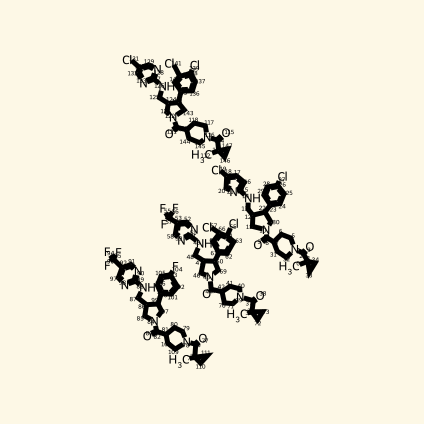 CC1(C(=O)N2CCC(C(=O)N3CC(CNc4ccc(Cl)cn4)C(c4ccc(Cl)cc4)C3)CC2)CC1.CC1(C(=O)N2CCC(C(=O)N3CC(CNc4ncc(C(F)(F)F)cn4)C(c4ccc(Cl)c(Cl)c4)C3)CC2)CC1.CC1(C(=O)N2CCC(C(=O)N3CC(CNc4ncc(C(F)(F)F)cn4)C(c4ccc(F)cc4)C3)CC2)CC1.CC1(C(=O)N2CCC(C(=O)N3CC(CNc4ncc(Cl)cn4)C(c4ccc(Cl)c(Cl)c4)C3)CC2)CC1